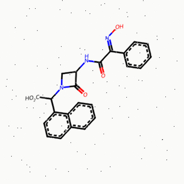 O=C(NC1CN(C(C(=O)O)c2cccc3ccccc23)C1=O)C(=NO)c1ccccc1